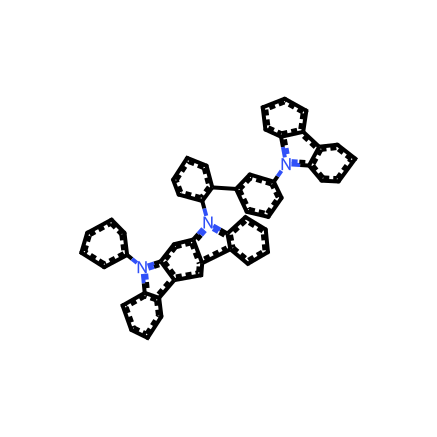 c1ccc(-n2c3ccccc3c3cc4c5ccccc5n(-c5ccccc5-c5cccc(-n6c7ccccc7c7ccccc76)c5)c4cc32)cc1